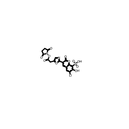 O=C(Cc1cnc(-c2cc3cc(Cl)c(O)c(S(=O)(=O)O)c3oc2=O)o1)ON1C(=O)CCC1=O